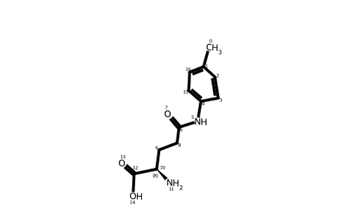 Cc1ccc(NC(=O)CC[C@@H](N)C(=O)O)cc1